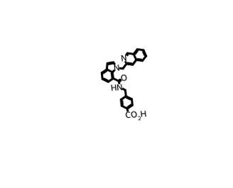 O=C(O)c1ccc(CNC(=O)c2cccc3ccn(Cc4cc5ccccc5cn4)c23)cc1